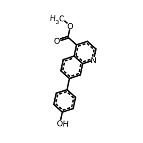 COC(=O)c1ccnc2cc(-c3ccc(O)cc3)ccc12